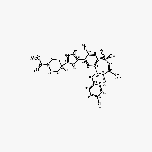 COC(=O)N1CCC(C)(c2nnc(-c3cc4c(cc3F)S(=O)(=O)C=C(N)C(=O)N4Cc3ccc(Cl)cc3)o2)CC1